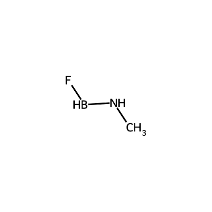 CNBF